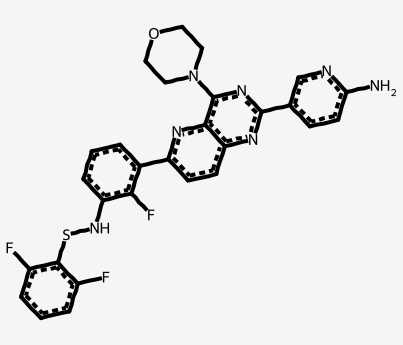 Nc1ccc(-c2nc(N3CCOCC3)c3nc(-c4cccc(NSc5c(F)cccc5F)c4F)ccc3n2)cn1